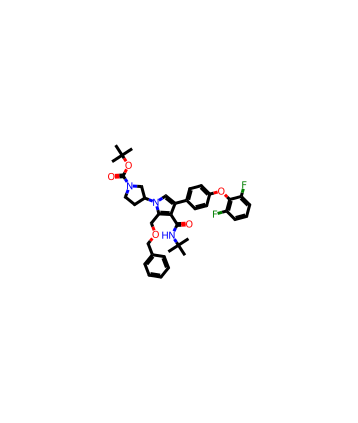 CC(C)(C)NC(=O)c1c(-c2ccc(Oc3c(F)cccc3F)cc2)cn(C2CCN(C(=O)OC(C)(C)C)C2)c1COCc1ccccc1